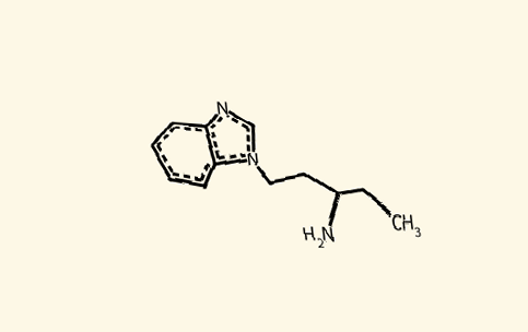 CCC(N)CCn1cnc2ccccc21